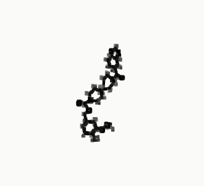 O=C(OCc1ccc(Cl)c(OC(F)(F)F)c1)N1CCN(C2CCN(C(=O)c3ccc4ocnc4c3)CC2)CC1